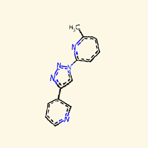 Cc1cccc(-n2cc(-c3cccnc3)nn2)n1